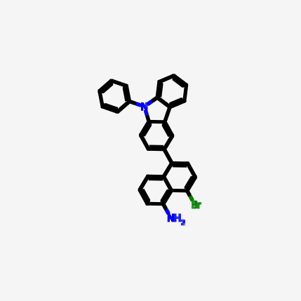 Nc1cccc2c(-c3ccc4c(c3)c3ccccc3n4-c3ccccc3)ccc(Br)c12